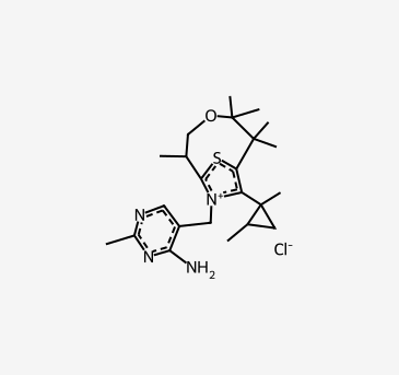 Cc1ncc(C[n+]2c3sc(c2C2(C)CC2C)C(C)(C)C(C)(C)OCC3C)c(N)n1.[Cl-]